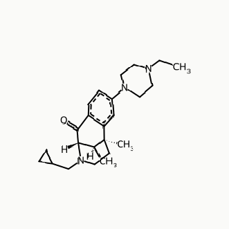 CCN1CCN(c2ccc3c(c2)[C@@]2(C)CCN(CC4CC4)[C@H](C3=O)[C@@H]2C)CC1